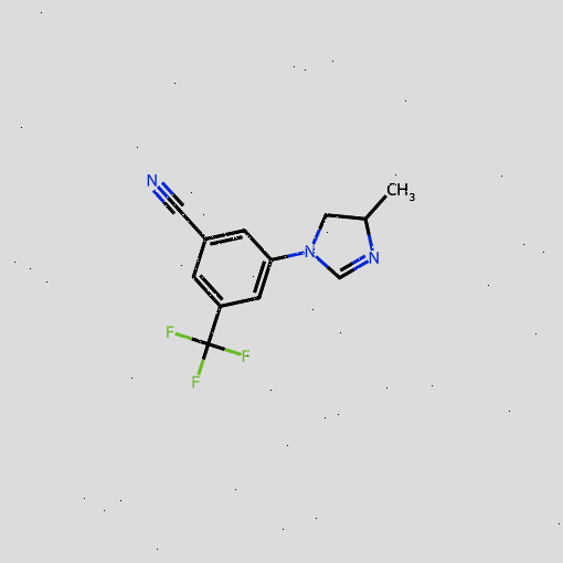 CC1CN(c2cc(C#N)cc(C(F)(F)F)c2)C=N1